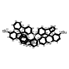 CC(C)(C)c1ccc2c(c1)C1(c3cc(C(C)(C)C)ccc3S2)c2ccccc2-c2ccc(N(c3ccc4c(c3)C3(c5ccccc5-4)c4cc(C(C)(C)C)ccc4-c4ccc(C(C)(C)C)cc43)c3cccc4sc5ccccc5c34)cc21